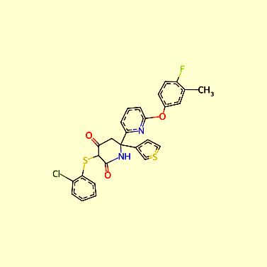 Cc1cc(Oc2cccc(C3(c4ccsc4)CC(=O)C(Sc4ccccc4Cl)C(=O)N3)n2)ccc1F